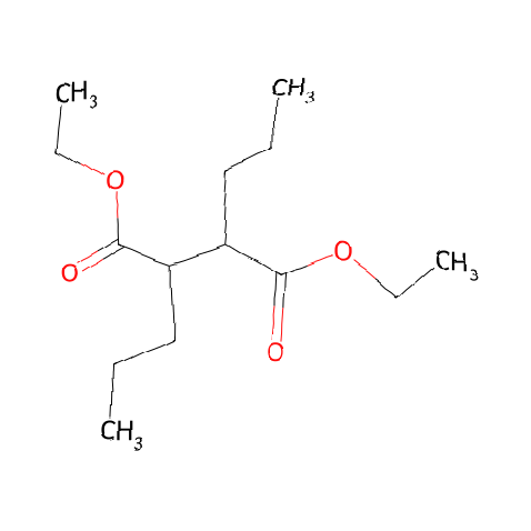 CCCC(C(=O)OCC)C(CCC)C(=O)OCC